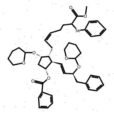 COC(=O)C(CC/C=C\C[C@@H]1[C@@H](/C=C/[C@H](Cc2ccccc2)OC2CCCCO2)[C@H](OC(=O)c2ccccc2)C[C@@H]1OC1CCCCO1)[Se]c1ccccc1